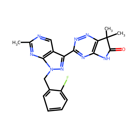 Cc1ncc2c(-c3nnc4c(n3)NC(=O)C4(C)C)nn(Cc3ccccc3F)c2n1